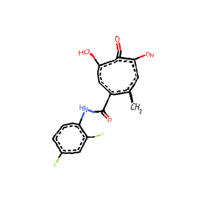 Cc1cc(O)c(=O)c(O)cc1C(=O)Nc1ccc(F)cc1F